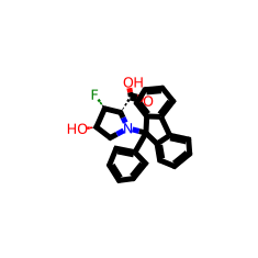 O=C(O)[C@H]1[C@@H](F)[C@@H](O)CN1C1(c2ccccc2)c2ccccc2-c2ccccc21